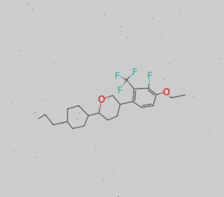 CCCC1CCC(C2CCC(c3ccc(OCC)c(F)c3C(F)(F)F)CO2)CC1